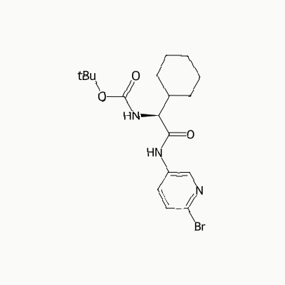 CC(C)(C)OC(=O)N[C@H](C(=O)Nc1ccc(Br)nc1)C1CCCCC1